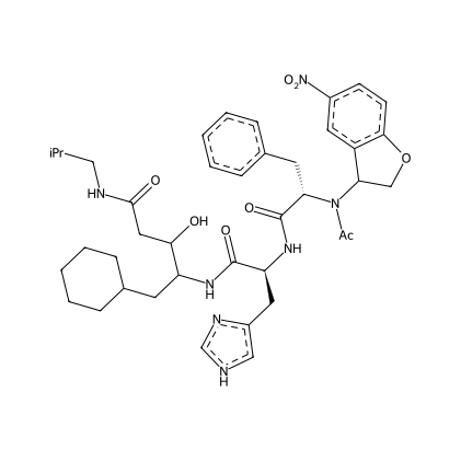 CC(=O)N(C1COc2ccc([N+](=O)[O-])cc21)[C@@H](Cc1ccccc1)C(=O)N[C@@H](Cc1c[nH]cn1)C(=O)NC(CC1CCCCC1)C(O)CC(=O)NCC(C)C